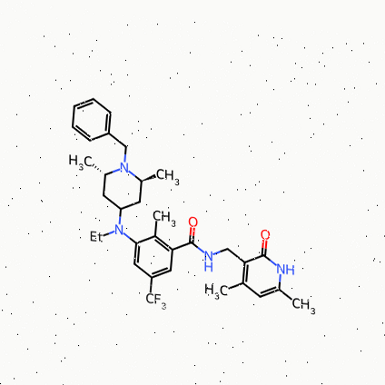 CCN(c1cc(C(F)(F)F)cc(C(=O)NCc2c(C)cc(C)[nH]c2=O)c1C)C1C[C@H](C)N(Cc2ccccc2)[C@@H](C)C1